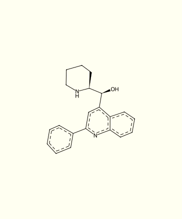 O[C@@H](c1cc(-c2ccccc2)nc2ccccc12)[C@@H]1CCCCN1